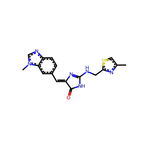 Cc1csc(CNC2=N/C(=C\c3ccc4ncn(C)c4c3)C(=O)N2)n1